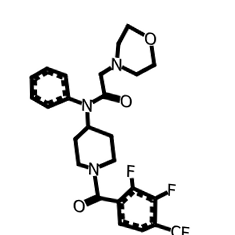 O=C(c1ccc(C(F)(F)F)c(F)c1F)N1CCC(N(C(=O)CN2CCOCC2)c2ccccc2)CC1